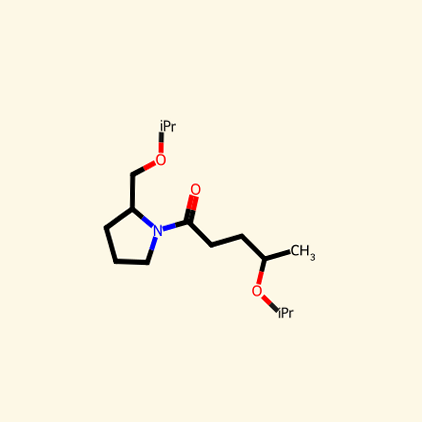 CC(C)OCC1CCCN1C(=O)CCC(C)OC(C)C